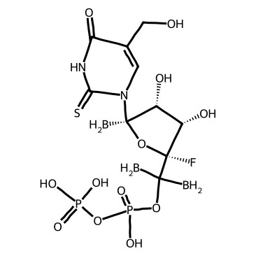 BC(B)(OP(=O)(O)OP(=O)(O)O)[C@@]1(F)O[C@@](B)(n2cc(CO)c(=O)[nH]c2=S)[C@H](O)[C@@H]1O